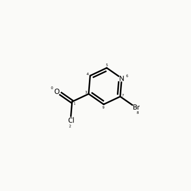 O=C(Cl)c1ccnc(Br)c1